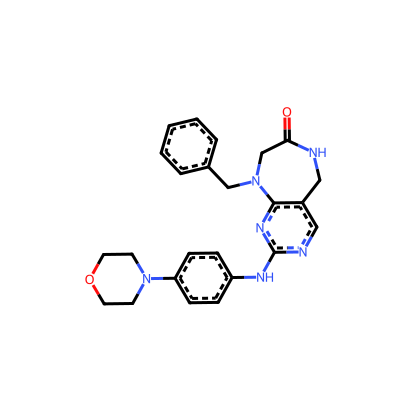 O=C1CN(Cc2ccccc2)c2nc(Nc3ccc(N4CCOCC4)cc3)ncc2CN1